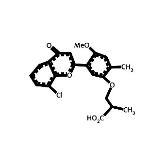 COc1cc(C)c(OCC(C)C(=O)O)cc1-c1cc(=O)c2cccc(Cl)c2o1